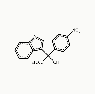 CCOC(=O)C(O)(c1ccc([N+](=O)[O-])cc1)c1c[nH]c2ccccc12